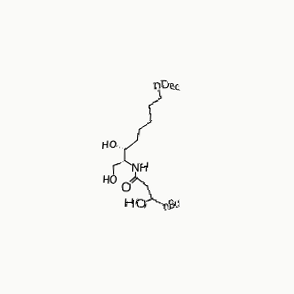 CCCCCCCCCCCCCCC[C@@H](O)[C@H](CO)NC(=O)CC(O)CCCC